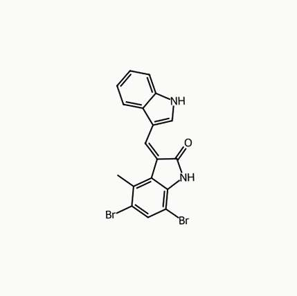 Cc1c(Br)cc(Br)c2c1C(=Cc1c[nH]c3ccccc13)C(=O)N2